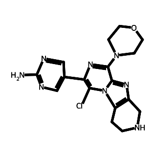 Nc1ncc(-c2nc(N3CCOCC3)c3nc4c(n3c2Cl)CCNC4)cn1